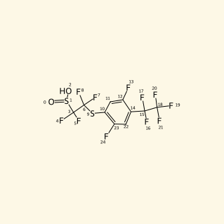 O=S(O)C(F)(F)C(F)(F)Sc1cc(F)c(C(F)(F)C(F)(F)F)cc1F